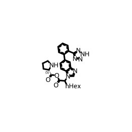 CCCCCCC(C(=O)OC(=O)[C@@H]1CCCN1)n1cnc2cc(-c3ccccc3-c3nn[nH]n3)ccc21